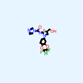 O=C(N=c1sc(CO)cn1-c1ccc2c(c1)OC(F)(F)C(F)(F)O2)n1ccnc1